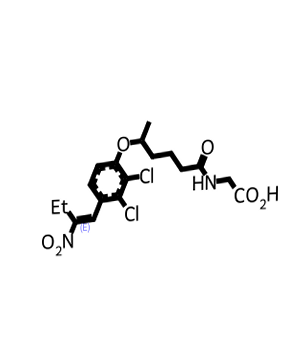 CC/C(=C\c1ccc(OC(C)CCCC(=O)NCC(=O)O)c(Cl)c1Cl)[N+](=O)[O-]